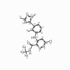 [2H]C([2H])([2H])NC(=O)c1nnc(Cl)cc1Nc1cccc(-c2nc(C)nn2C)c1C